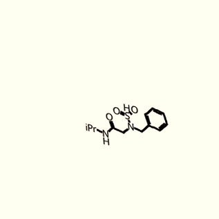 CC(C)NC(=O)CN(Cc1ccccc1)[SH](=O)=O